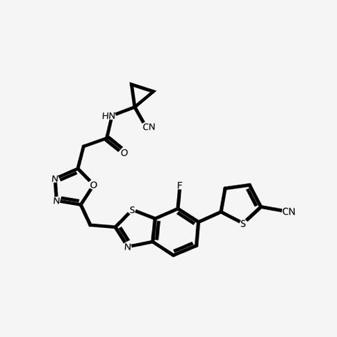 N#CC1=CCC(c2ccc3nc(Cc4nnc(CC(=O)NC5(C#N)CC5)o4)sc3c2F)S1